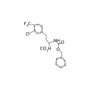 O=C(NC(CCc1ccc(C(F)(F)F)c(Cl)c1)C(=O)O)OCc1ccccc1